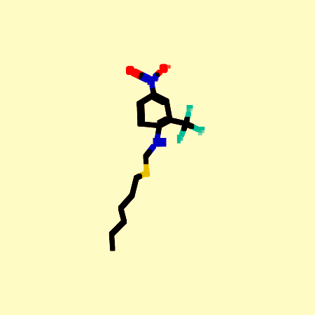 CCCCCCSCNc1ccc([N+](=O)[O-])cc1C(F)(F)F